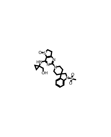 CS(=O)(=O)N1CC2(CCN(c3nc4c(c(NC5(CO)CC5)n3)[S+]([O-])CC4)CC2)c2ccccc21